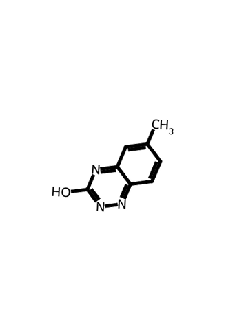 Cc1ccc2nnc(O)nc2c1